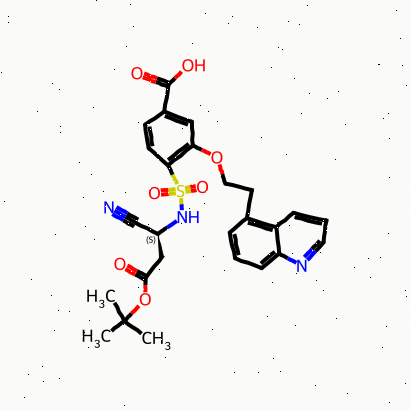 CC(C)(C)OC(=O)C[C@@H](C#N)NS(=O)(=O)c1ccc(C(=O)O)cc1OCCc1cccc2ncccc12